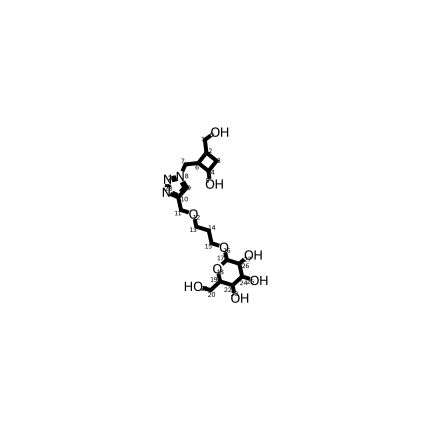 OCC1CC(O)C1Cn1cc(COCCCOC2OC(CO)C(O)C(O)C2O)nn1